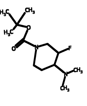 CN(C)C1CCN(C(=O)OC(C)(C)C)CC1F